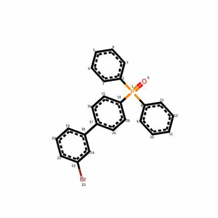 O=P(c1ccccc1)(c1ccccc1)c1ccc(-c2cccc(Br)c2)cc1